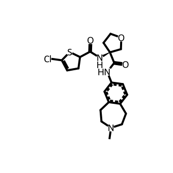 CN1CCc2ccc(NC(=O)[C@]3(NC(=O)C4CC=C(Cl)S4)CCOC3)cc2CC1